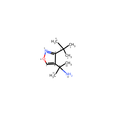 CC(C)(C)c1nocc1C(C)(C)N